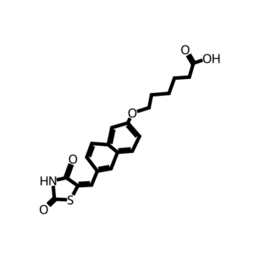 O=C(O)CCCCCOc1ccc2cc(C=C3SC(=O)NC3=O)ccc2c1